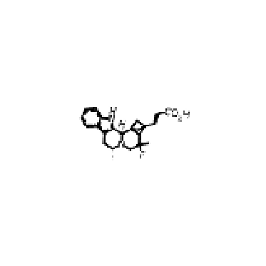 C[C@@H]1Cc2c([nH]c3ccccc23)[C@@H]2N1CC(C)(F)C1C3(/C=C/C(=O)O)CC12C3